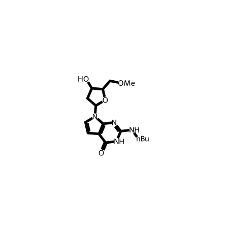 CCCCNc1nc2c(ccn2C2CC(O)C(COC)O2)c(=O)[nH]1